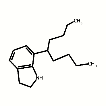 CCCCC(CCCC)c1cccc2c1NCC2